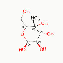 O=[N+]([O-])[C@@]1(O)[C@H](O)[C@@H](O)[C@@H](O)O[C@@H]1CO